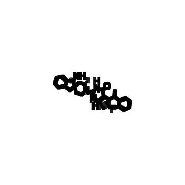 C=C(c1ccccc1F)c1n[nH]c2nc(N3CCC4(CC3)Cc3ccccc3[C@H]4N)[nH]c(=O)c12